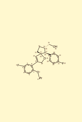 CC(C)Oc1ccc(F)cc1C1=C[C@@]2(CC[C@H](CO)[C@H]2c2ccc(F)cc2)OC1